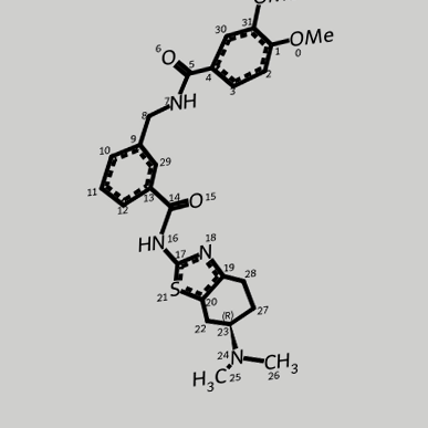 COc1ccc(C(=O)NCc2cccc(C(=O)Nc3nc4c(s3)C[C@H](N(C)C)CC4)c2)cc1OC